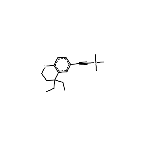 CCC1(CC)CCSc2ccc(C#C[Si](C)(C)C)cc21